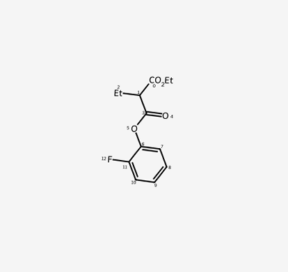 CCOC(=O)C(CC)C(=O)Oc1ccccc1F